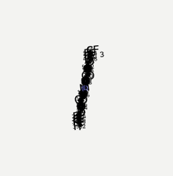 O=C(Oc1ccc(/N=N/c2ccc(OC(=O)c3ccc(OCC(F)(F)C(F)(F)C(F)(F)C(F)F)cc3)cc2)cc1)c1ccc(COC(F)(F)C(F)(F)C(F)(F)C(F)(F)F)cc1